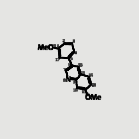 COc1cccc(-c2cnc3cc(OC)ccc3c2)c1